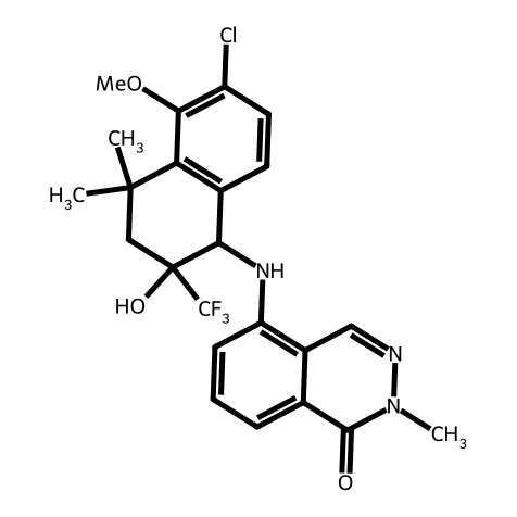 COc1c(Cl)ccc2c1C(C)(C)CC(O)(C(F)(F)F)C2Nc1cccc2c(=O)n(C)ncc12